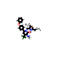 [C-]#[N+]c1c(C(F)(F)F)cc(-c2ccc(Oc3ccccc3)cc2)n(Cc2nc(CC)sc2C)c1=O